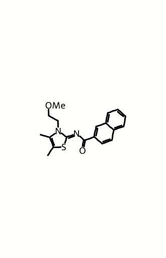 COCCn1c(C)c(C)sc1=NC(=O)c1ccc2ccccc2c1